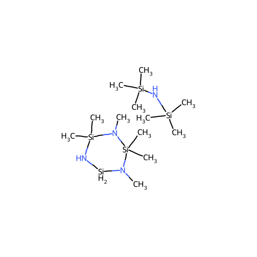 CN1[SiH2]N[Si](C)(C)N(C)[Si]1(C)C.C[Si](C)(C)N[Si](C)(C)C